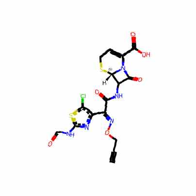 C#CCON=C(C(=O)NC1C(=O)N2C(C(=O)O)=CCS[C@@H]12)c1nc(NC=O)sc1Cl